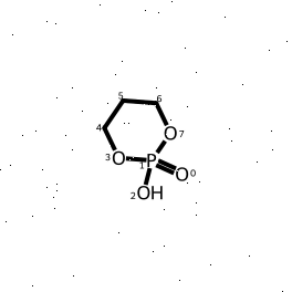 O=P1(O)OCCCO1